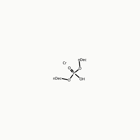 CCCCCCCCCCOP(=O)(O)OCCCCCCCCCC.[Cr]